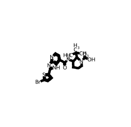 CC(C)(C)C1C(NC(=O)c2ccnc3nc(-c4ccc(Br)s4)[nH]c23)CCCN1C(=O)O